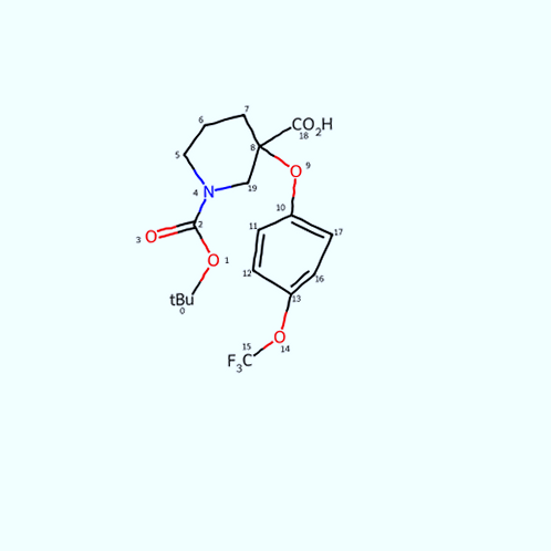 CC(C)(C)OC(=O)N1CCCC(Oc2ccc(OC(F)(F)F)cc2)(C(=O)O)C1